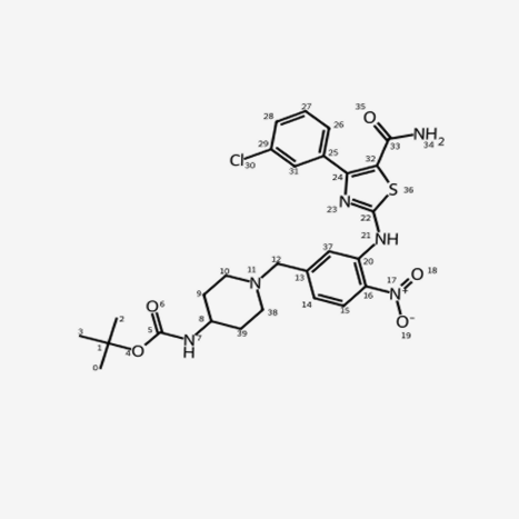 CC(C)(C)OC(=O)NC1CCN(Cc2ccc([N+](=O)[O-])c(Nc3nc(-c4cccc(Cl)c4)c(C(N)=O)s3)c2)CC1